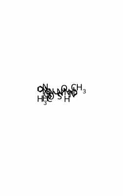 COC(=O)N(CCc1nc(C(=O)NCc2ncccc2C)cs1)Cc1nc2ccccc2[nH]1